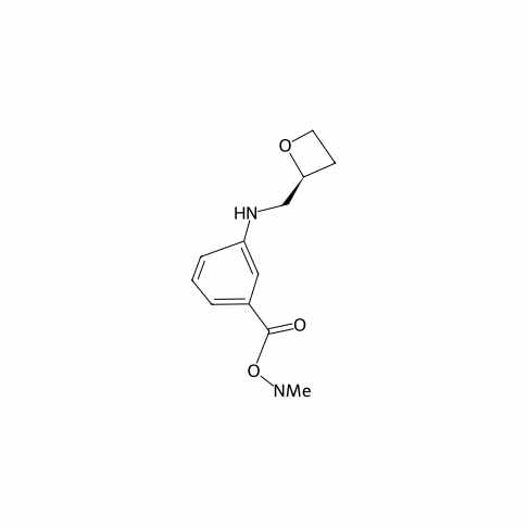 CNOC(=O)c1cccc(NC[C@@H]2CCO2)c1